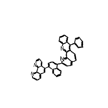 c1ccc(-c2c3ccccc3nc3c2ccc2ccc(-c4ccc(-c5cc6cccnc6c6ncccc56)c5ccccc45)nc23)cc1